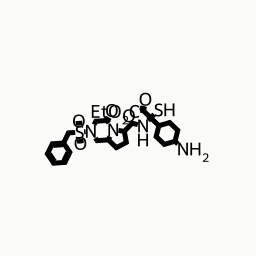 CCOC(=O)C(=O)C(S)(NC(=O)C1CCC2CN(S(=O)(=O)Cc3ccccc3)CC(=O)N21)C1CCC(N)CC1